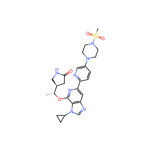 C[C@@H](Oc1nc(-c2ccc(N3CCN(S(C)(=O)=O)CC3)cn2)cc2ncn(C3CC3)c12)[C@H]1CNC(=O)C1